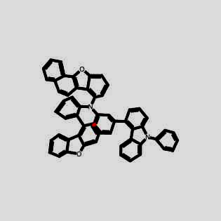 c1ccc(-n2c3ccccc3c3c(-c4cccc(N(c5ccccc5-c5cccc6oc7ccccc7c56)c5cccc6oc7c8ccccc8ccc7c56)c4)cccc32)cc1